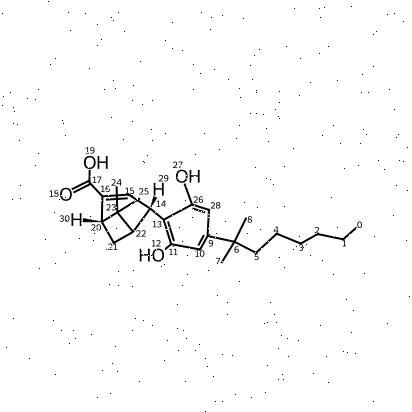 CCCCCCC(C)(C)c1cc(O)c([C@H]2C=C(C(=O)O)[C@H]3CC2C3(C)C)c(O)c1